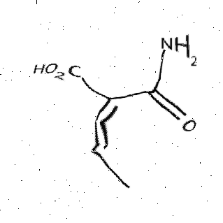 C/C=C(\C(N)=O)C(=O)O